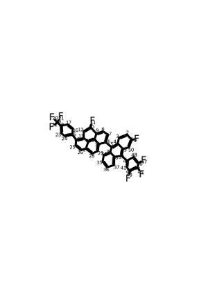 Fc1ccc2c(-c3ccc4c(F)cc5c(-c6ccc(C(F)(F)F)cc6)ccc6ccc3c4c65)c3ccccc3c(-c3cc(F)c(F)c(F)c3)c2c1